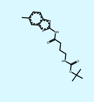 Cc1ccc2nc(NC(=O)CCCNC(=O)OC(C)(C)C)sc2c1